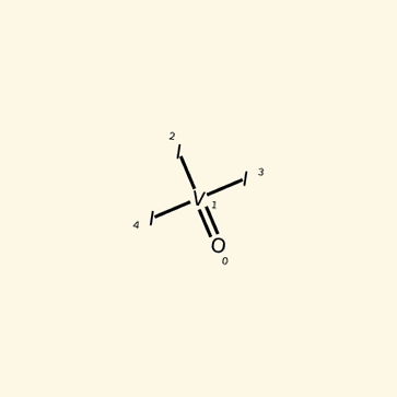 [O]=[V]([I])([I])[I]